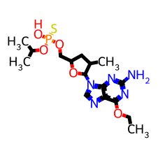 CCOc1nc(N)nc2c1ncn2C1OC(COP(O)(=S)OC(C)C)CC1C